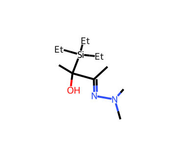 CC[Si](CC)(CC)C(C)(O)C(C)=NN(C)C